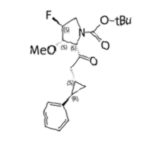 CO[C@H]1[C@@H](C(=O)C[C@@H]2C[C@H]2c2ccccc2)N(C(=O)OC(C)(C)C)C[C@@H]1F